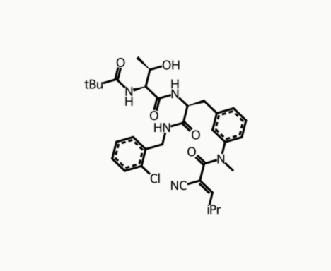 CC(C)C=C(C#N)C(=O)N(C)c1cccc(C[C@H](NC(=O)[C@@H](NC(=O)C(C)(C)C)[C@@H](C)O)C(=O)NCc2ccccc2Cl)c1